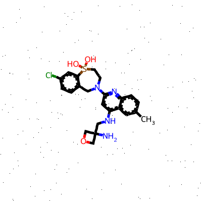 Cc1ccc2nc(N3CCS(O)(O)c4cc(Cl)ccc4C3)cc(NCC3(N)COC3)c2c1